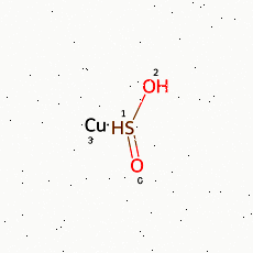 O=[SH]O.[Cu]